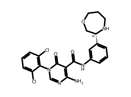 Nc1ncn(-c2c(Cl)cccc2Cl)c(=O)c1C(=O)Nc1cccc([C@@H]2COCCCN2)c1